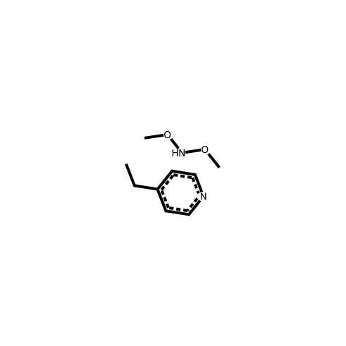 CCc1ccncc1.CONOC